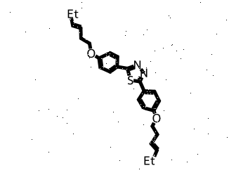 CCC=CCCOc1ccc(-c2nnc(-c3ccc(OCCC=CCC)cc3)s2)cc1